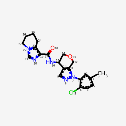 Cc1ccc(Cl)c(-n2ncc3c2COCC3NC(=O)c2ncn3c2CCCC3)c1